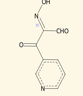 O=C/C(=N\O)C(=O)c1cccnc1